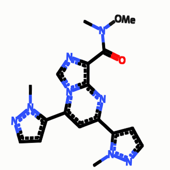 CON(C)C(=O)c1ncn2c(-c3ccnn3C)cc(-c3ccnn3C)nc12